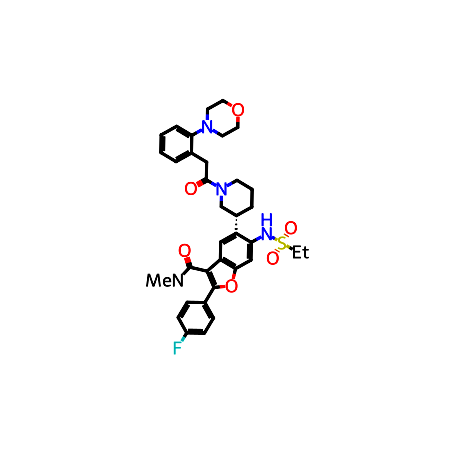 CCS(=O)(=O)Nc1cc2oc(-c3ccc(F)cc3)c(C(=O)NC)c2cc1[C@H]1CCCN(C(=O)Cc2ccccc2N2CCOCC2)C1